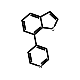 [c]1ccc2ccsc2c1-c1ccncc1